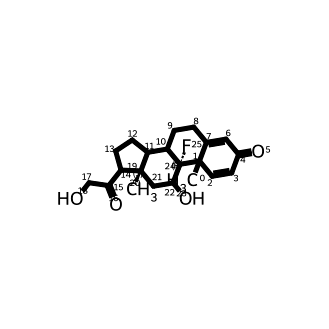 CC12C=CC(=O)C=C1CCC1C3CCC(C(=O)CO)[C@@]3(C)CC(O)[C@@]12F